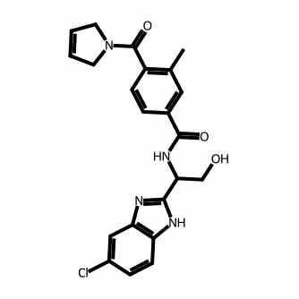 Cc1cc(C(=O)NC(CO)c2nc3cc(Cl)ccc3[nH]2)ccc1C(=O)N1CC=CC1